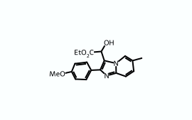 CCOC(=O)C(O)c1c(-c2ccc(OC)cc2)nc2ccc(C)cn12